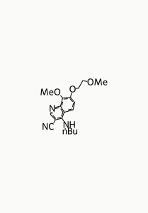 CCCCNc1c(C#N)cnc2c(OC)c(OCCOC)ccc12